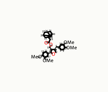 COc1ccc(C[C@H]2CO[C@H](c3ccc(OC)c(OC)c3)[C@H]2COC(=O)CC23CC4CC(CC(C4)C2)C3)cc1OC